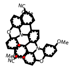 COc1ccc2c(c1)N(c1ccc(-c3ccc(C#N)cc3)c(N3c4cc(OC)ccc4Oc4ccc(OC)cc43)c1-c1ccc(C#N)cc1)c1cc(OC)ccc1O2